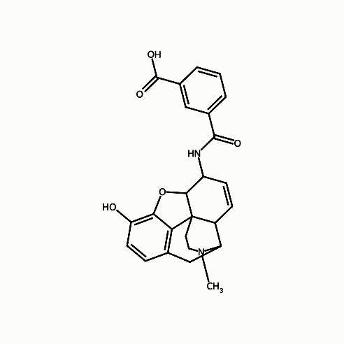 CN1CCC23c4c5ccc(O)c4OC2C(NC(=O)c2cccc(C(=O)O)c2)C=CC3C1C5